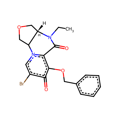 CCN1C(=O)c2c(OCc3ccccc3)c(=O)c(Br)cn2C2COC[C@@H]21